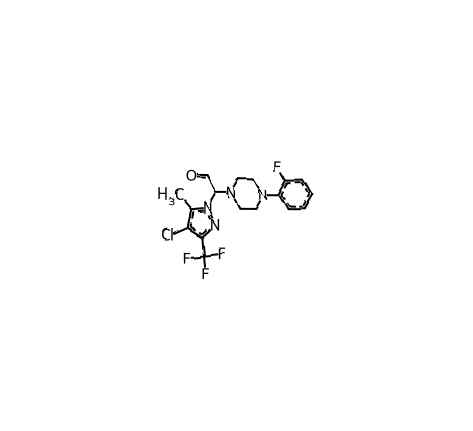 Cc1c(Cl)c(C(F)(F)F)nn1C(C=O)N1CCN(c2ccccc2F)CC1